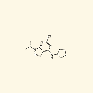 CC(C)n1ccc2c(NC3CCCC3)nc(Cl)nc21